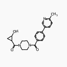 Cc1ccc(-c2ccc(C(=O)N3CCN(C(=O)C4CC4O)CC3)cc2)cn1